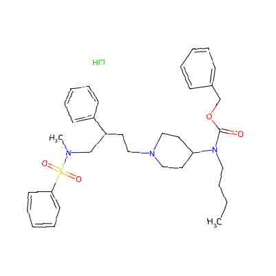 CCCCN(C(=O)OCc1ccccc1)C1CCN(CCC(CN(C)S(=O)(=O)c2ccccc2)c2ccccc2)CC1.Cl